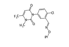 CC(C)ON=Cc1cc(-n2c(=O)cc(C(F)(F)F)n(C)c2=O)ccc1Cl